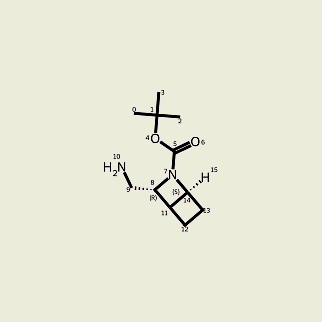 CC(C)(C)OC(=O)N1[C@@H](CN)C2CC[C@@H]21